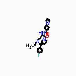 C=CCN(CCC[C@H](NC(=O)c1ccc(-n2cccc2)cc1)C(=O)N1CCCCC1)[C@@H]1C[C@H]1c1ccc(F)cc1